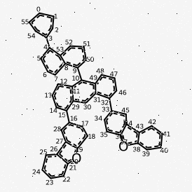 c1ccc(-c2cccc3c(-c4c5cccc(-c6ccc7oc8ccccc8c7c6)c5cc5c(-c6ccc7oc8ccccc8c7c6)cccc45)cccc23)cc1